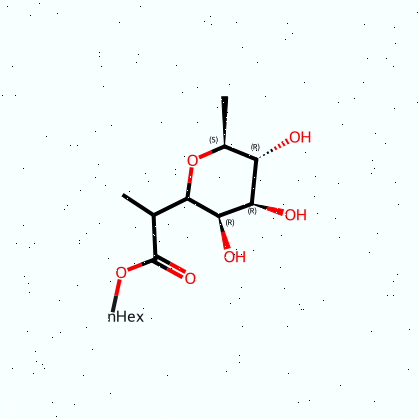 CCCCCCOC(=O)C(C)C1O[C@@H](C)[C@H](O)[C@@H](O)[C@H]1O